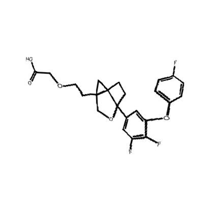 O=C(O)COCCC12COC3(c4cc(F)c(F)c(Oc5ccc(F)cc5)c4)CCC13C2